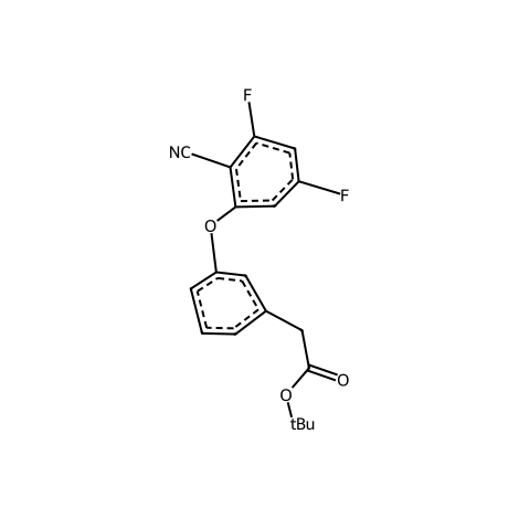 CC(C)(C)OC(=O)Cc1cccc(Oc2cc(F)cc(F)c2C#N)c1